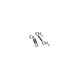 CC.[O]=[Ce]